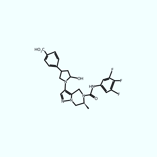 C[C@H]1Cn2ncc(N3CC(c4ccc(C(=O)O)cc4)CC3O)c2CN1C(=O)Nc1cc(F)c(F)c(F)c1